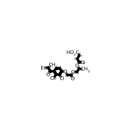 C=C(CC)C(=O)c1ccc(OCC(=O)OCC(C)OC(=O)CCC(=O)O)c(Cl)c1Cl